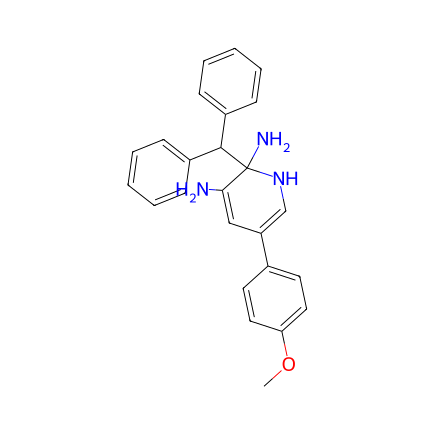 COc1ccc(C2=CNC(N)(C(c3ccccc3)c3ccccc3)C(N)=C2)cc1